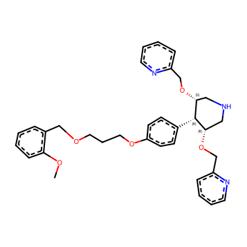 COc1ccccc1COCCCOc1ccc([C@H]2[C@@H](OCc3ccccn3)CNC[C@H]2OCc2ccccn2)cc1